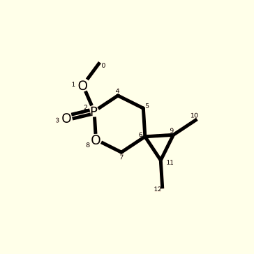 COP1(=O)CCC2(CO1)C(C)C2C